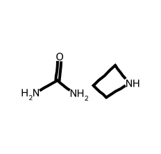 C1CNC1.NC(N)=O